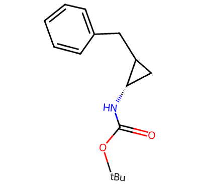 CC(C)(C)OC(=O)N[C@H]1C[C]1Cc1ccccc1